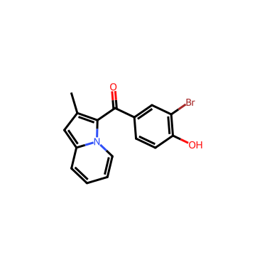 Cc1cc2ccccn2c1C(=O)c1ccc(O)c(Br)c1